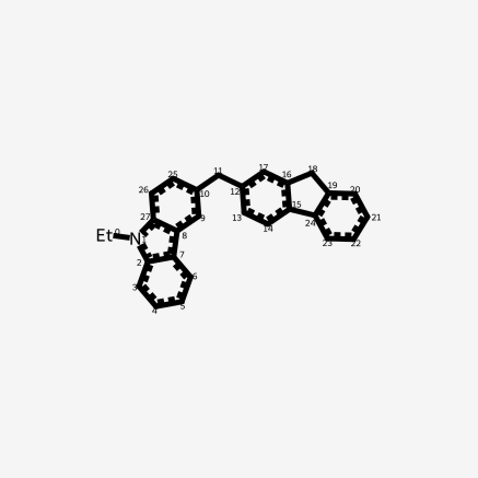 CCn1c2ccccc2c2cc(Cc3ccc4c(c3)Cc3ccccc3-4)ccc21